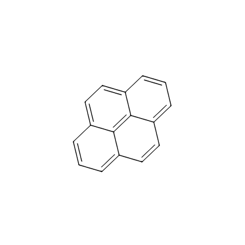 [c]1cc2ccc3[c]ccc4ccc(c1)c2c34